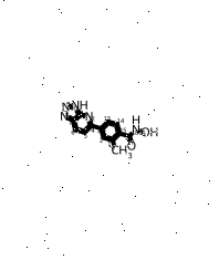 Cc1cc(-c2ccc3nn[nH]c3n2)ccc1C(=O)NO